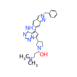 CN(C)CCC(O)N1CCC(c2cc(-c3ccc4cn(Cc5ccccc5)nc4c3)c3c(N)ncnn23)C1